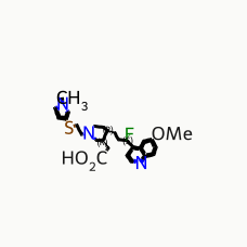 COc1ccc2nccc([C@@H](F)CC[C@@H]3CCN(CCSc4ccn(C)c4)C[C@@H]3CC(=O)O)c2c1